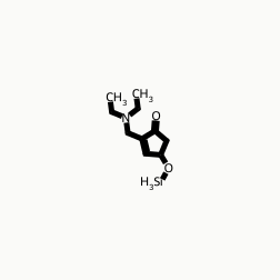 CCN(CC)CC1=CC(O[SiH3])CC1=O